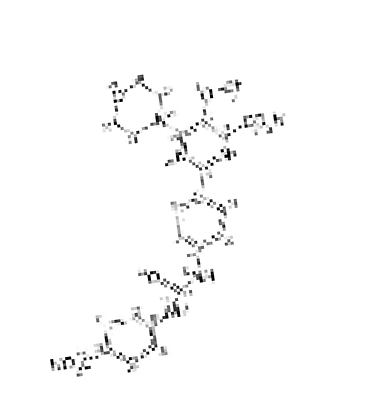 CCOc1c(C(=O)O)nc(-c2ccc(NC(=O)Nc3ccc(C(=O)O)cc3)cc2)nc1N1CCOCC1